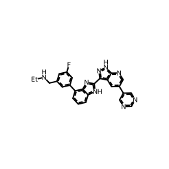 CCNCc1cc(F)cc(-c2cccc3[nH]c(-c4n[nH]c5ncc(-c6cncnc6)cc45)nc23)c1